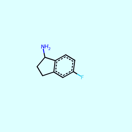 NC1CCc2cc(F)ccc21